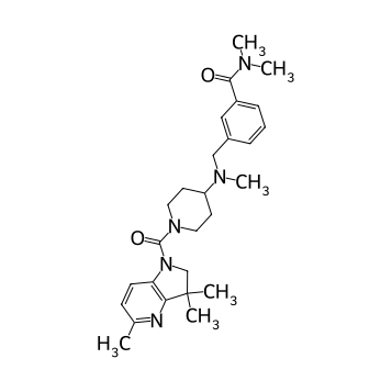 Cc1ccc2c(n1)C(C)(C)CN2C(=O)N1CCC(N(C)Cc2cccc(C(=O)N(C)C)c2)CC1